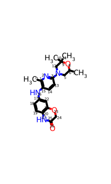 Cc1nc(N2CC(C)OC(C)(C)C2)ccc1Nc1ccc2c(c1)OCC(=O)N2